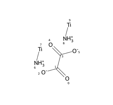 O=C([O-])C(=O)[O-].[NH3+][Ti].[NH3+][Ti]